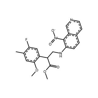 COC(=O)C(CNc1ccc2ccncc2c1[N+](=O)[O-])c1cc(F)c(C)cc1OC